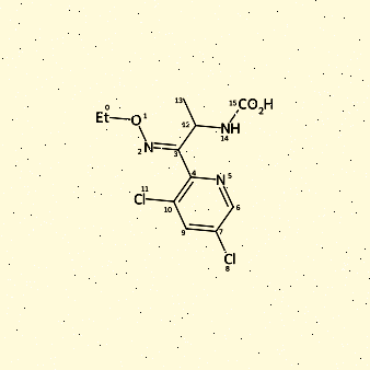 CCON=C(c1ncc(Cl)cc1Cl)C(C)NC(=O)O